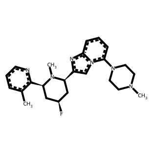 Cc1cccnc1[C@@H]1C[C@H](F)C[C@H](c2cn3c(N4CCN(C)CC4)cccc3n2)N1C